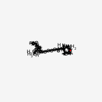 CN[C@H](C)C(=O)N[C@@H](C(=O)N1CCC[C@@H]1C1=NC(C(=O)c2ccc(F)cc2)CS1)C1CCN(CCOCCOCCOCCOCCC(=O)NCCn2nc3c(c2C#N)-c2cnc(N)c(c2)N2CCC[C@@H]2c2cc(F)ccc2C(=O)N(C2CC2)C3)CC1